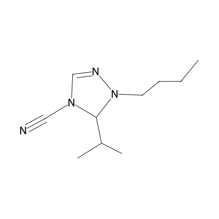 CCCCN1N=CN(C#N)C1C(C)C